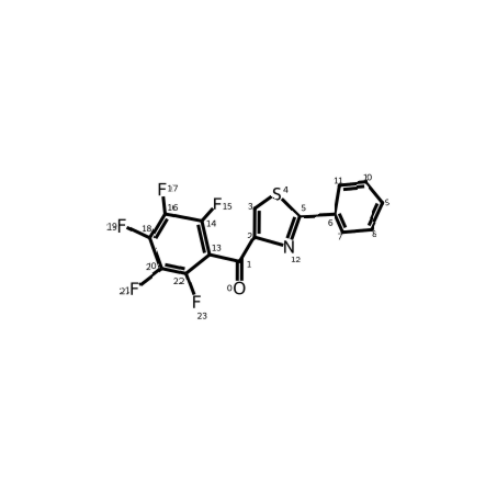 O=C(c1csc(-c2ccccc2)n1)c1c(F)c(F)c(F)c(F)c1F